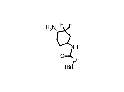 CC(C)(C)OC(=O)N[C@H]1CC[C@H](N)C(F)(F)C1